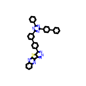 c1ccc(-c2ccc(-c3nc(-c4ccccc4)nc(-c4cccc(-c5ccc(-c6nnnc7c6sc6nc8ccccc8nc67)cc5)c4)n3)cc2)cc1